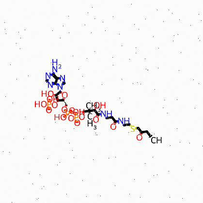 C#CCC(=O)CSCCNC(=O)CCNC(=O)[C@H](O)C(C)(C)COP(=O)(O)OP(=O)(O)OC[C@H]1O[C@@H](n2cnc3c(N)ncnc32)[C@H](O)[C@@H]1OP(=O)(O)O